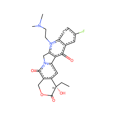 CC[C@@]1(O)C(=O)OCc2c1cc1n(c2=O)Cc2c-1c(=O)c1cc(F)ccc1n2CCN(C)C